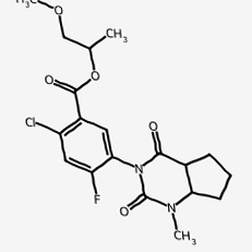 COCC(C)OC(=O)c1cc(N2C(=O)C3CCCC3N(C)C2=O)c(F)cc1Cl